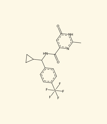 Cc1nc(C(=O)NC(c2ccc(S(F)(F)(F)(F)F)cc2)C2CC2)cc(=O)[nH]1